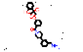 NCc1cccc(C2CCN(C(=O)c3cccc(OCC(O)(C(=O)O)c4ccccc4)c3)CC2)c1